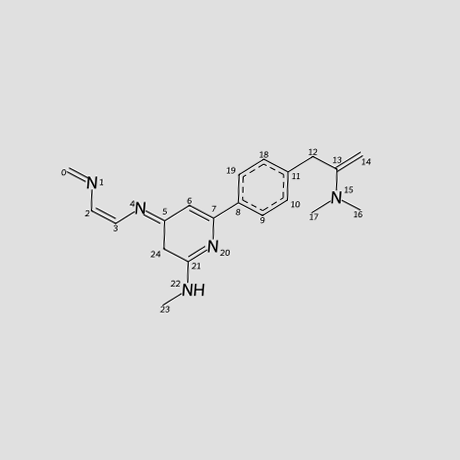 C=N/C=C\N=C1\C=C(c2ccc(CC(=C)N(C)C)cc2)N=C(NC)C1